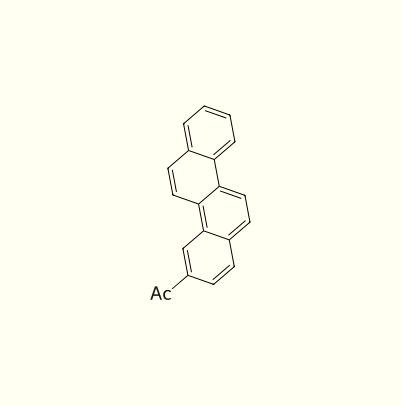 CC(=O)c1ccc2ccc3c4ccccc4ccc3c2c1